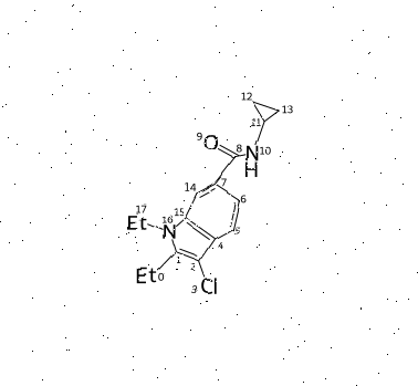 CCc1c(Cl)c2ccc(C(=O)NC3CC3)cc2n1CC